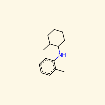 Cc1ccccc1NC1CCCCC1C